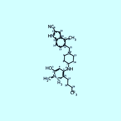 C=N/C(O)=C\C(NC1CCN(Cc2ccc3[nH]c(C#N)cc3c2C)CC1)=C(/C)CCCC(F)(F)F